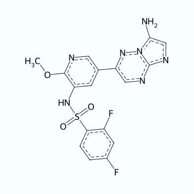 COc1ncc(-c2cnc3ncc(N)n3n2)cc1NS(=O)(=O)c1ccc(F)cc1F